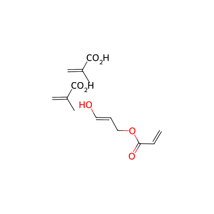 C=C(C)C(=O)O.C=C(C)C(=O)O.C=CC(=O)OCC=CO